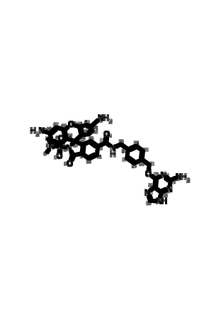 CN(C)S(=O)(=O)N1C(=O)c2ccc(C(=O)NCc3ccc(COc4nc(N)nc5[nH]cnc45)cc3)cc2C12c1ccc(N)cc1Oc1cc(N)ccc12